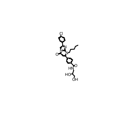 CCCCCn1c(-c2ccc(C(=O)NC[C@@H](O)CO)cc2)cc(=O)n2cc(-c3ccc(Cl)cc3)nc12